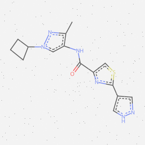 Cc1nn(C2CCC2)cc1NC(=O)c1csc(-c2cn[nH]c2)n1